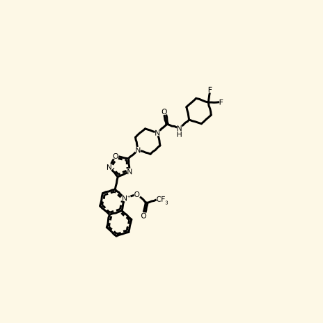 O=C(NC1CCC(F)(F)CC1)N1CCN(c2nc(-c3ccc4ccccc4[n+]3OC(=O)C(F)(F)F)no2)CC1